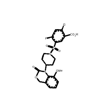 COc1cccc2c1N(C1CCN(S(=O)(=O)c3cc(C(=O)O)c(Cl)cc3F)CC1)C(=O)OC2